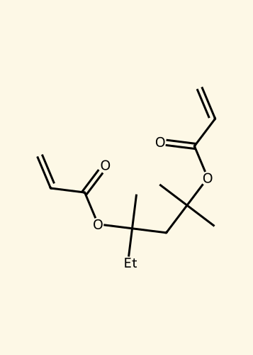 C=CC(=O)OC(C)(C)CC(C)(CC)OC(=O)C=C